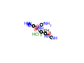 Cc1cc(C(=O)NC2CCNCC2)ccc1-c1ccc(C[C@H](NC(=O)[C@H]2CC[C@H](CN)CC2)C(=O)Nc2ccc(-c3nn[nH]n3)cc2)cc1F.Cl